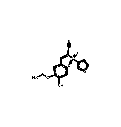 CCOc1cc(C=C(C#N)S(=O)(=O)c2ccsc2)ccc1O